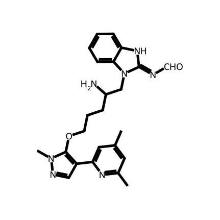 Cc1cc(C)nc(-c2cnn(C)c2OCCCC(N)Cn2/c(=N/C=O)[nH]c3ccccc32)c1